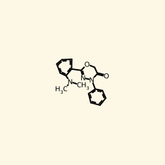 CN(C)c1ccccc1C1=NN(c2ccccc2)C(=O)CO1